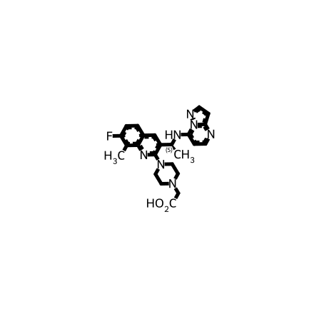 Cc1c(F)ccc2cc([C@H](C)Nc3ccnc4ccnn34)c(N3CCN(CC(=O)O)CC3)nc12